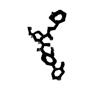 CCO[C@@H]1C[C@H](C(=O)Nc2ccc(N3CCOCC3=O)cc2F)N(C(=O)C=Cc2cccnc2)C1